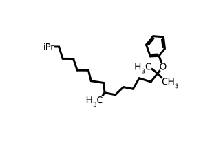 CC(C)CCCCCCCC(C)CCCCCC(C)(C)Oc1ccccc1